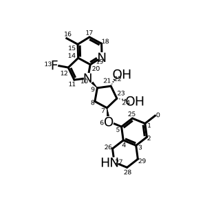 Cc1cc2c(c(O[C@H]3C[C@@H](n4cc(F)c5c(C)ccnc54)[C@H](O)[C@@H]3O)c1)CNCC2